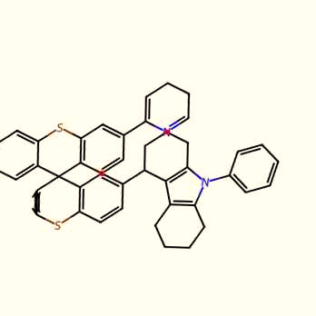 C1=NC(c2ccc3c(c2)Sc2ccccc2C32c3ccccc3Sc3ccc(C4CCCc5c4c4c(n5-c5ccccc5)CCCC4)cc32)=CCC1